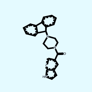 O=C(c1ccc2[nH]ccc2c1)N1CCN(C2c3ccccc3-c3ccccc32)CC1